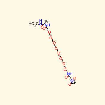 CC(C)[C@H](NC(=O)CCOCCOCCOCCOCCOCCOCCOCCOCCNC(=O)CCN1C(=O)C=CC1=O)C(=O)NCC(=O)O